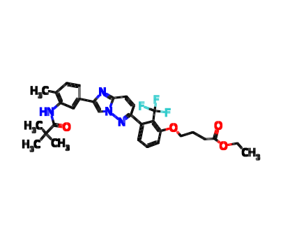 CCOC(=O)CCCOc1cccc(-c2ccc3nc(-c4ccc(C)c(NC(=O)C(C)(C)C)c4)cn3n2)c1C(F)(F)F